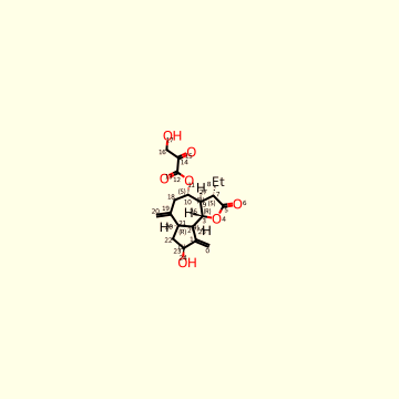 C=C1[C@@H]2[C@H]3OC(=O)[C@@H](CC)[C@@H]3[C@@H](OC(=O)C(=O)CO)CC(=C)[C@@H]2C[C@@H]1O